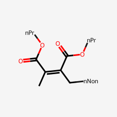 CCCCCCCCCC/C(C(=O)OCCC)=C(\C)C(=O)OCCC